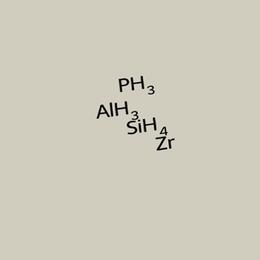 P.[AlH3].[SiH4].[Zr]